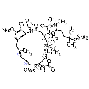 COc1cc2cc(c1Cl)N(C)C(=O)C[C@H](OC(=O)[C@H](C)N(C)C(=O)CCC(C)(C)SSC)[C@@]1(C)O[C@H]1[C@H](C)[C@@H]1C[C@@](O)(NC(=O)O1)[C@H](OC)/C=C/C=C(\C)C2